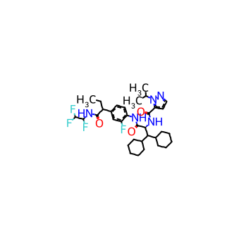 CCC(C(=O)NC(F)C(F)F)c1ccc(NC(=O)[C@@H](NC(=O)c2ccnn2C(C)C)C(C2CCCCC2)C2CCCCC2)c(F)c1